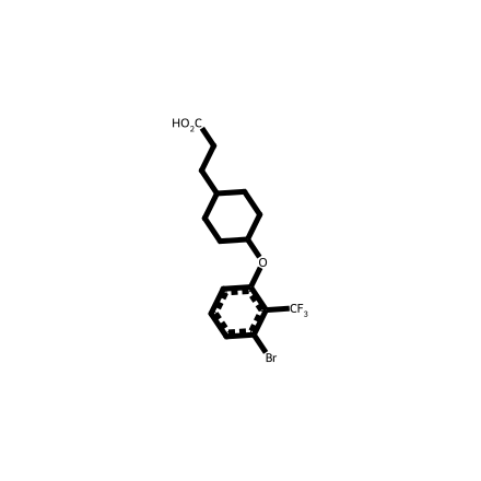 O=C(O)CCC1CCC(Oc2cccc(Br)c2C(F)(F)F)CC1